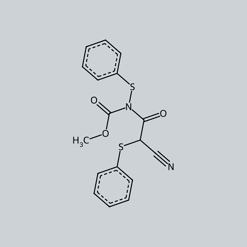 COC(=O)N(Sc1ccccc1)C(=O)C(C#N)Sc1ccccc1